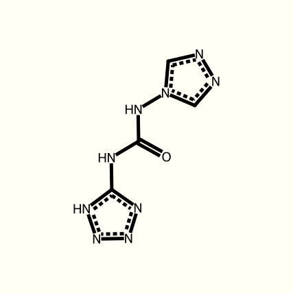 O=C(Nc1nnn[nH]1)Nn1cnnc1